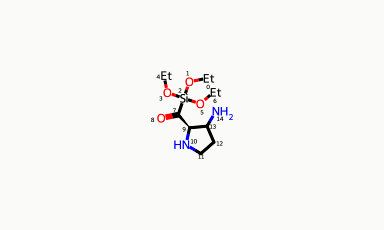 CCO[Si](OCC)(OCC)C(=O)[C@@H]1NCCC1N